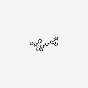 c1ccc(-c2nc(-c3ccccc3)nc(-c3cccc4oc5cc(-c6ccc(-c7ccc8c(c7)c7ccccc7n8-c7ccccc7)cc6)ccc5c34)n2)cc1